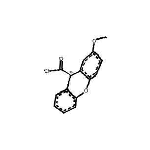 COc1ccc2c(c1)[C@H](C(=O)Cl)c1ccccc1O2